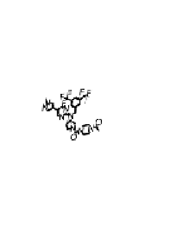 CC(=O)N1CCN(C(=O)N2CC[C@H](N(Cc3cc(C(F)(F)F)cc(C(F)(F)F)c3)c3ncc(-c4cnn(C)c4)cn3)C2)CC1